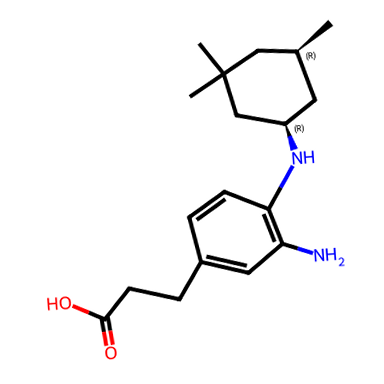 C[C@H]1C[C@@H](Nc2ccc(CCC(=O)O)cc2N)CC(C)(C)C1